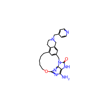 Nc1nc2nc3c1[nH]c(=O)n3Cc1cc(c3c(c1)CN(Cc1ccncc1)CC3)CCCCCO2